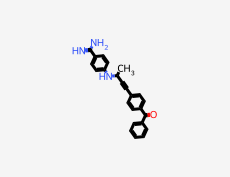 CC(C#Cc1ccc(C(=O)c2ccccc2)cc1)Nc1ccc(C(=N)N)cc1